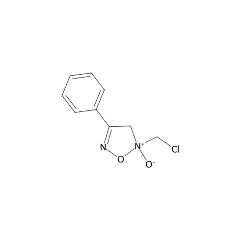 [O-][N+]1(CCl)CC(c2ccccc2)=NO1